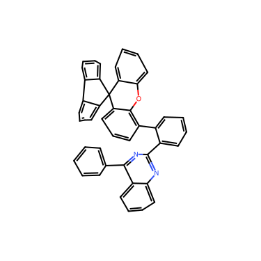 c1ccc(-c2nc(-c3ccccc3-c3cccc4c3Oc3ccccc3C43c4ccccc4-c4ccccc43)nc3ccccc23)cc1